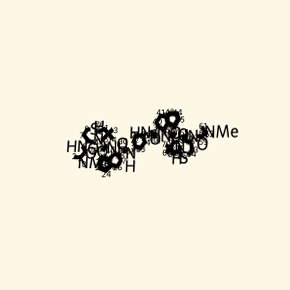 CN[C@@H](C)C(=O)N[C@H]1CCS[C@H]2CC(C)(C)[C@@H](C(=O)NC3c4ccccc4CC[C@H]3C(=O)N[C@H]3CC[C@H](NC(=O)[C@@H]4CCc5ccccc5[C@@H]4NC(=O)[C@H]4N5C(=O)[C@@H](NC(=O)[C@H](C)NC)CCS[C@H]5CC4(C)C)CC3)N2C1=O